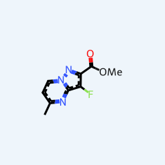 COC(=O)c1nn2ccc(C)nc2c1F